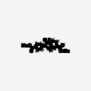 COC(=O)c1ccc(N2C[C@H]3CN(C(=O)OC(C)(C)C)CC[C@@]3(F)C2=O)cc1